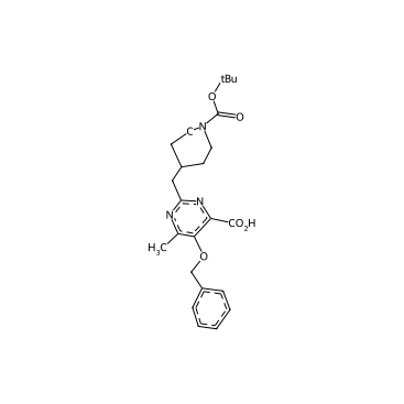 Cc1nc(CC2CCN(C(=O)OC(C)(C)C)CC2)nc(C(=O)O)c1OCc1ccccc1